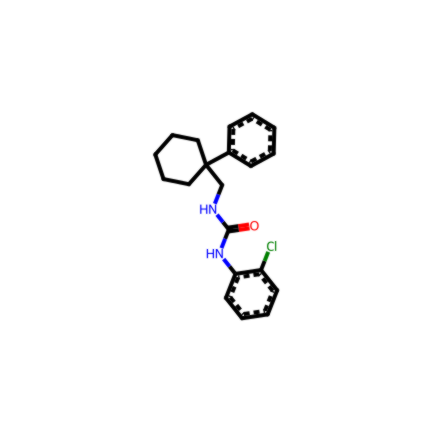 O=C(NCC1(c2ccccc2)CCCCC1)Nc1ccccc1Cl